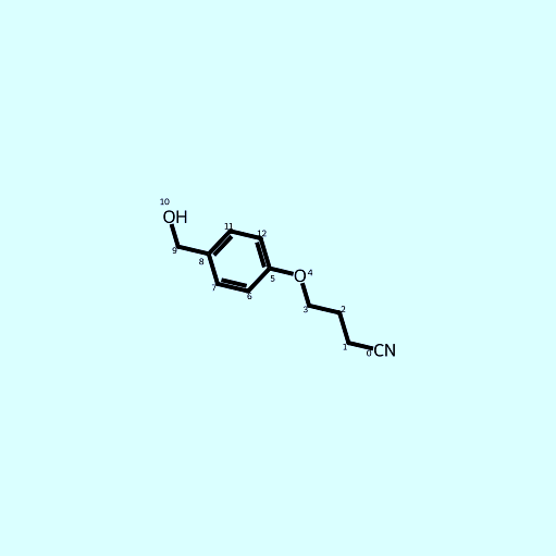 N#CCCCOc1ccc(CO)cc1